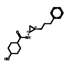 O=C(N[C@@H]1C[C@H]1CCCc1ccccc1)C1CCC(O)CC1